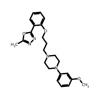 COc1cccc(N2CCN(CCCOc3ccccc3-c3nnc(C)o3)CC2)c1